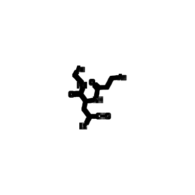 CCC(C=O)CC(NC(=O)CCC(C)=O)C(=O)NCC(C)=O